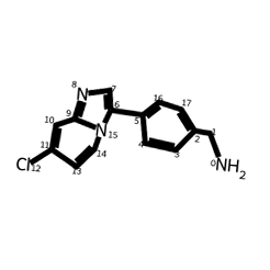 NCc1ccc(-c2cnc3cc(Cl)ccn23)cc1